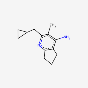 Cc1c(CC2CC2)nc2c(c1N)CCC2